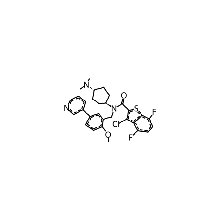 COc1ccc(-c2cccnc2)cc1CN(C(=O)c1sc2c(F)ccc(F)c2c1Cl)[C@H]1CC[C@H](N(C)C)CC1